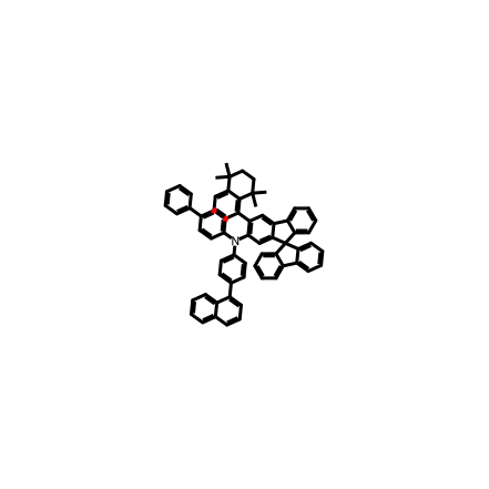 CC1(C)CCC(C)(C)c2c(-c3cc4c(cc3N(c3ccc(-c5ccccc5)cc3)c3ccc(-c5cccc6ccccc56)cc3)C3(c5ccccc5-c5ccccc53)c3ccccc3-4)cccc21